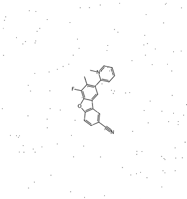 Cc1c(-c2cccc[n+]2C)cc2c(oc3ccc(C#N)cc32)c1F